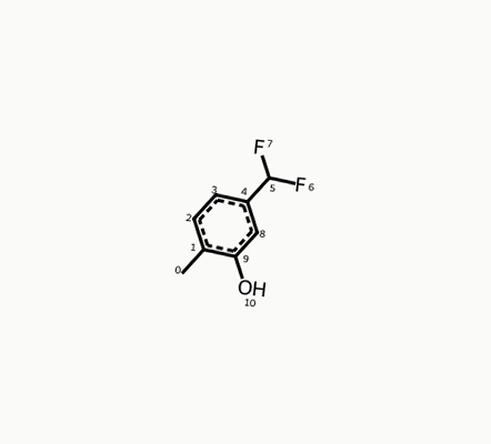 Cc1ccc(C(F)F)cc1O